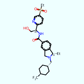 CC[C@H]1c2ccc(C(=O)N[C@@H](CO)c3ccc(S(=O)(=O)CC)cn3)cc2CN1C[C@H]1CC[C@H](C(F)(F)F)CC1